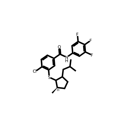 CC(C)CC1CC[C@@H](C)C1Sc1cc(C(=O)Nc2cc(F)c(F)c(F)c2)ccc1Cl